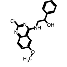 COc1ccc2nc(Cl)nc(NCC(O)c3ccccc3)c2c1